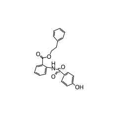 O=C(OCCc1ccccc1)c1ccccc1NS(=O)(=O)c1ccc(O)cc1